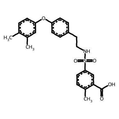 Cc1ccc(Oc2ccc(CCNS(=O)(=O)c3ccc(C)c(C(=O)O)c3)cc2)cc1C